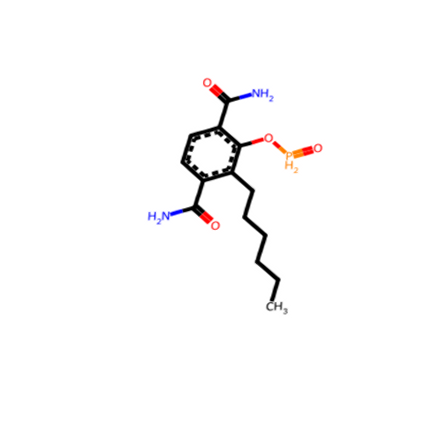 CCCCCCc1c(C(N)=O)ccc(C(N)=O)c1O[PH2]=O